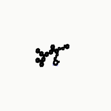 C=C1/C=C\C=C/CC(OCCOc2cc(OCCOC3Cc4ccccc43)cc(-n3c4ccccc4c4cc(-c5ccc(N(c6ccc(-c7ccccc7)cc6)c6ccc7c8ccccc8n(-c8ccccc8)c7c6)cc5)ccc43)c2)C1